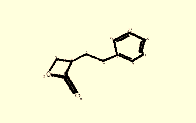 O=C1OCC1CCc1ccccc1